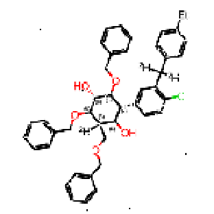 [2H]C([2H])(c1ccc(CC)cc1)c1cc([C@H]2[C@H](OCc3ccccc3)[C@@H](O)[C@H](OCc3ccccc3)[C@@]([2H])(COCc3ccccc3)[C@@H]2O)ccc1Cl